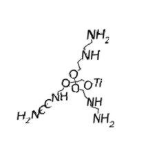 NCCNCCOC(C[O][Ti])(OCCNCCN)OCCNCCN